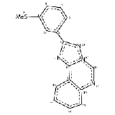 CSc1cccc(-c2nc3c4ccccc4ncn3n2)c1